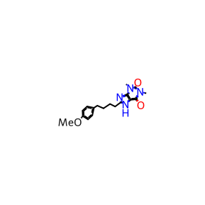 COc1ccc(CCCCc2nc3c([nH]2)c(=O)n(C)c(=O)n3C)cc1